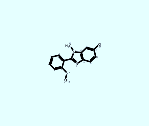 CSc1ccccc1-c1nc2ccc(Cl)cc2n1C